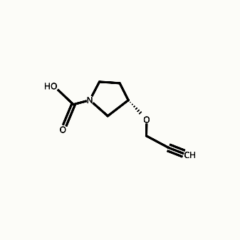 C#CCO[C@H]1CCN(C(=O)O)C1